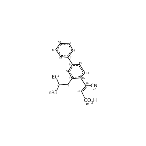 CCCCC(CC)Cc1cc(-c2ccccc2)ccc1C(C#N)=CC(=O)O